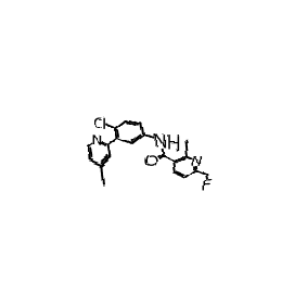 Cc1ccnc(-c2cc(NC(=O)c3ccc(CF)nc3C)ccc2Cl)c1